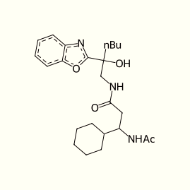 CCCCC(O)(CNC(=O)CC(NC(C)=O)C1CCCCC1)c1nc2ccccc2o1